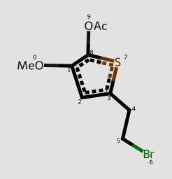 COc1cc(CCBr)sc1OC(C)=O